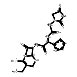 CC(=O)OCC1=C(C(=O)O)N2C(=O)[C@H](NC(=O)C(NC(=O)NN3CC(=O)NC3=O)c3cccs3)C2SC1